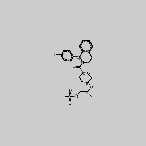 C[C@H](COS(C)(=O)=O)O[C@@H]1CC[C@H](C(=O)N2CCc3ccccc3[C@@H]2c2ccc(F)cc2)OC1